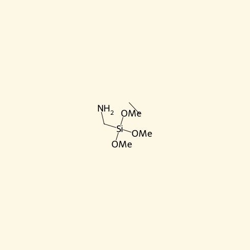 CC.CO[Si](CN)(OC)OC